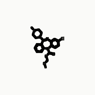 COCOC(=O)N1c2ccc(Cl)cc2N=C(N2CCN(C)CC2)c2ccccc21